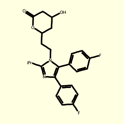 CC(C)c1nc(-c2ccc(F)cc2)c(-c2ccc(F)cc2)n1CCC1CC(O)CC(=O)O1